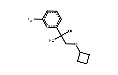 OC(O)(CNC1CCC1)c1cccc(C(F)(F)F)n1